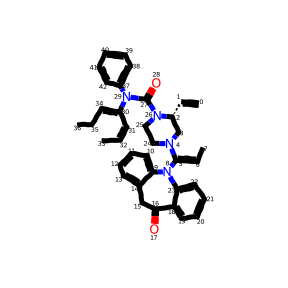 C=C[C@@H]1CN(C(=CC)N2c3ccccc3CC(=O)c3ccccc32)CCN1C(=O)N(C(/C=C\C)=C/CC)c1ccccc1